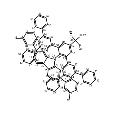 Cc1cccc(-c2ccc3c4ccc(-c5cccc(C)c5)cc4n(-c4c(-c5cc(-c6ccccc6)nc(-c6ccccc6)n5)cc(C(F)(F)F)cc4-c4cc(-c5ccccc5)nc(-c5ccccc5)n4)c3c2)c1